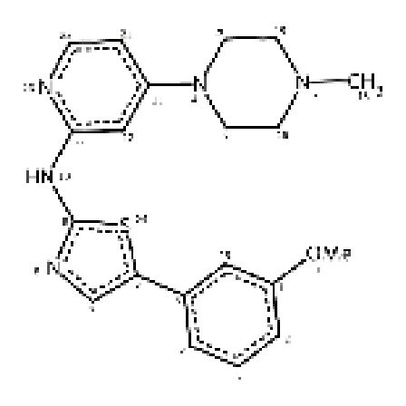 COc1cccc(-c2cnc(Nc3cc(N4CCN(C)CC4)ccn3)s2)c1